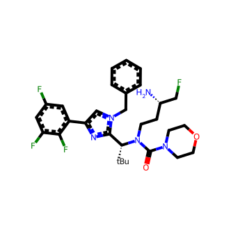 CC(C)(C)[C@H](c1nc(-c2cc(F)cc(F)c2F)cn1Cc1ccccc1)N(CC[C@H](N)CF)C(=O)N1CCOCC1